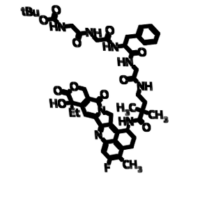 CC[C@@]1(O)C(=O)OCc2c1cc1n(c2=O)Cc2c-1nc1cc(F)c(C)c3c1c2[C@@H](NC(=O)C(C)(C)CCNC(=O)CNC(=O)C(Cc1ccccc1)NC(=O)CNC(=O)CNC(=O)OC(C)(C)C)CC3